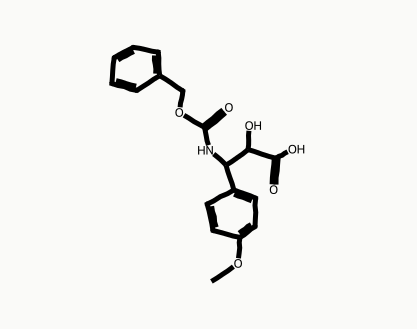 COc1ccc(C(NC(=O)OCc2ccccc2)C(O)C(=O)O)cc1